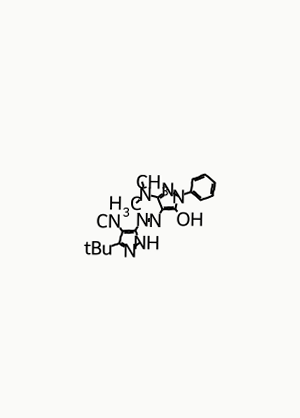 [C-]#[N+]c1c(C(C)(C)C)n[nH]c1/N=N/c1c(N(C)C)nn(-c2ccccc2)c1O